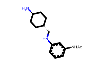 CC(=O)Nc1cccc(NC[C@H]2CC[C@H](N)CC2)c1